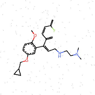 C=C(F)/C=C\C(=C)/C(=C\CNCCN(C)C)c1cc(OCC2CC2)ccc1OC